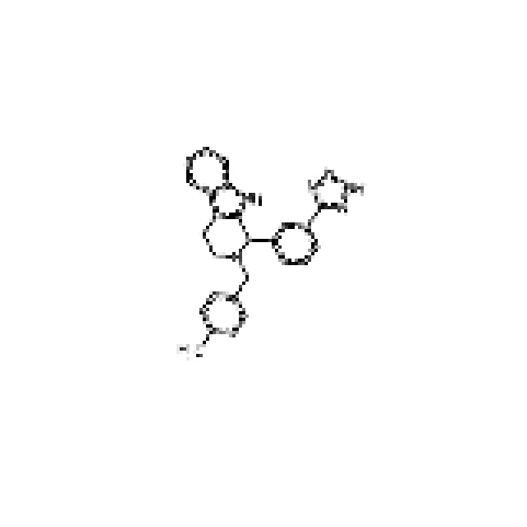 Cc1ccc(CN2CCc3c([nH]c4ccccc34)C2c2cccc(-c3nn[nH]n3)c2)cc1